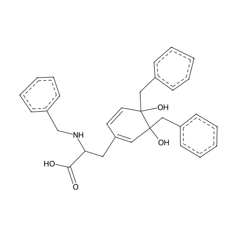 O=C(O)C(CC1=CC(O)(Cc2ccccc2)C(O)(Cc2ccccc2)C=C1)NCc1ccccc1